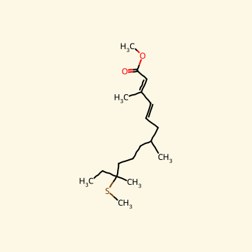 CCC(C)(CCCC(C)C/C=C/C(C)=C/C(=O)OC)SC